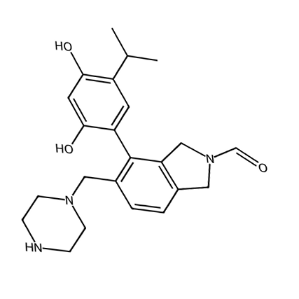 CC(C)c1cc(-c2c(CN3CCNCC3)ccc3c2CN(C=O)C3)c(O)cc1O